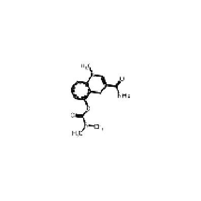 CNC(=O)C1=CN(C)c2cccc(OC(=O)N(C)C)c2C1